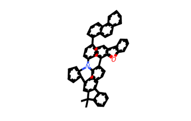 CC1(C)c2ccccc2-c2ccc(-c3ccccc3N(c3ccc(-c4cccc5c4ccc4ccccc45)cc3)c3ccccc3-c3cccc4c3oc3ccccc34)cc21